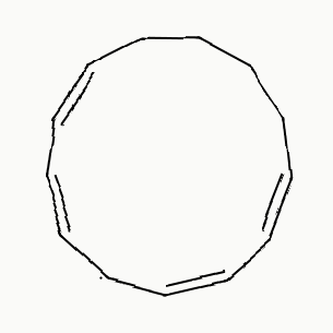 [CH]1C=CC=CCCCCC=CC=C1